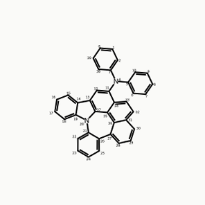 c1ccc(N(c2ccccc2)c2cc3c4ccccc4n4c5ccccc5c5cccc6ccc2c(c65)c34)cc1